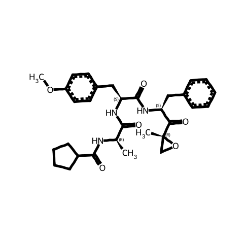 COc1ccc(C[C@H](NC(=O)[C@@H](C)NC(=O)C2CCCC2)C(=O)N[C@@H](Cc2ccccc2)C(=O)[C@@]2(C)CO2)cc1